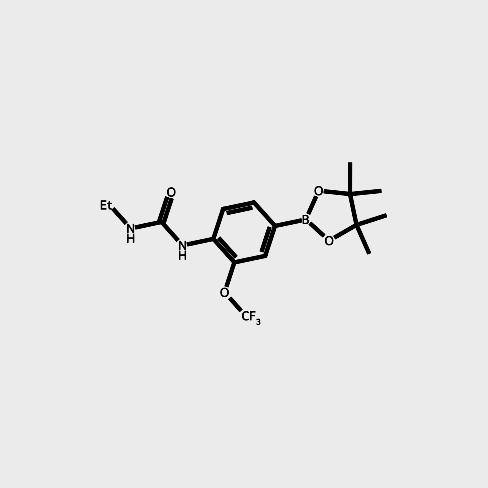 CCNC(=O)Nc1ccc(B2OC(C)(C)C(C)(C)O2)cc1OC(F)(F)F